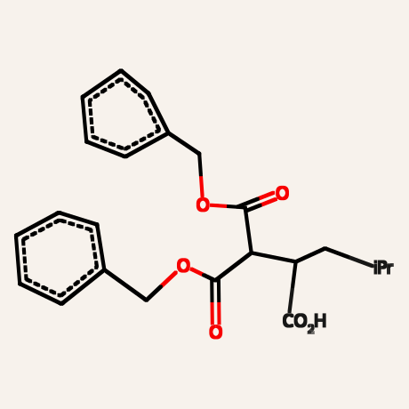 CC(C)CC(C(=O)O)C(C(=O)OCc1ccccc1)C(=O)OCc1ccccc1